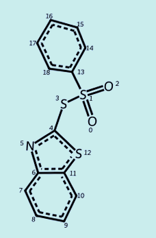 O=S(=O)(Sc1nc2ccccc2s1)c1ccccc1